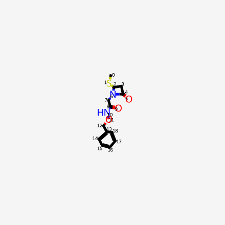 CSC1CC(=O)N1CC(=O)NOCc1ccccc1